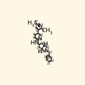 Cc1nn(C)cc1-c1ccc(N[C@@H]2C[C@@H]3CN(CC4CC5C=CC4C5)C[C@@H]3C2)nc1